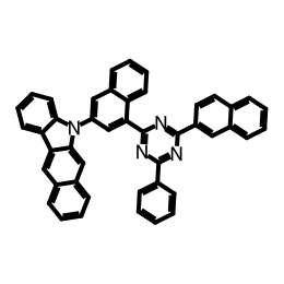 c1ccc(-c2nc(-c3ccc4ccccc4c3)nc(-c3cc(-n4c5ccccc5c5cc6ccccc6cc54)cc4ccccc34)n2)cc1